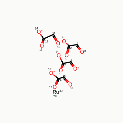 O=CC(=O)[O-].O=CC(=O)[O-].O=CC(=O)[O-].O=CC(=O)[O-].[Ru+4]